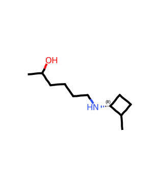 CC(O)CCCCN[C@@H]1CCC1C